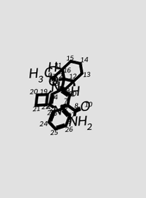 COC1(c2ccnc(C(N)=O)c2)[C@@H]2CCC[C@H]1CN([C@@H]1CC[C@H]1c1ccccc1)C2